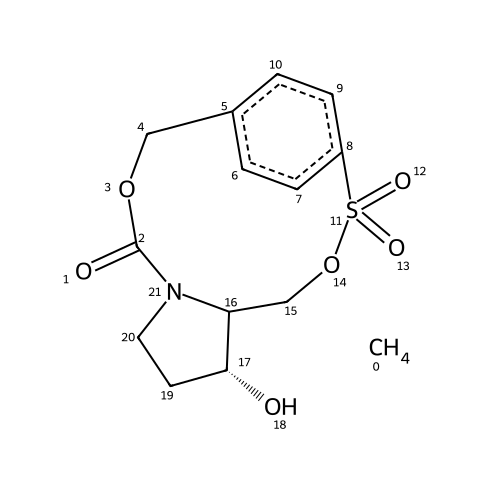 C.O=C1OCc2ccc(cc2)S(=O)(=O)OCC2[C@H](O)CCN12